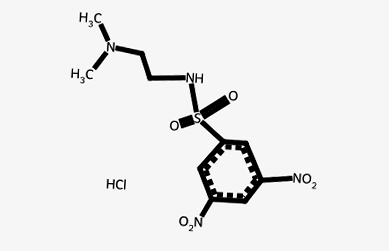 CN(C)CCNS(=O)(=O)c1cc([N+](=O)[O-])cc([N+](=O)[O-])c1.Cl